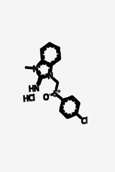 Cl.Cn1c(=N)n(C[S+]([O-])c2ccc(Cl)cc2)c2ccccc21